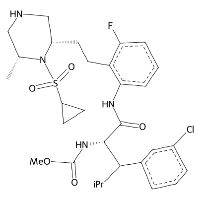 COC(=O)N[C@H](C(=O)Nc1cccc(F)c1CC[C@H]1CNC[C@@H](C)N1S(=O)(=O)C1CC1)C(c1cccc(Cl)c1)C(C)C